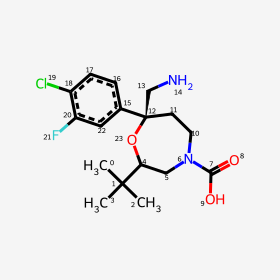 CC(C)(C)C1CN(C(=O)O)CC[C@@](CN)(c2ccc(Cl)c(F)c2)O1